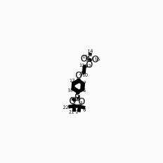 CC1(C)OB(c2ccc(OCCOS(C)(=O)=O)cc2)OC1(C)C